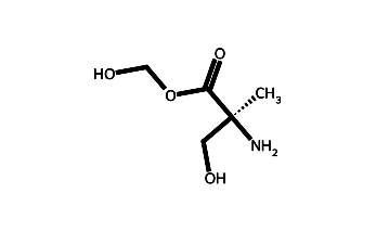 C[C@](N)(CO)C(=O)OCO